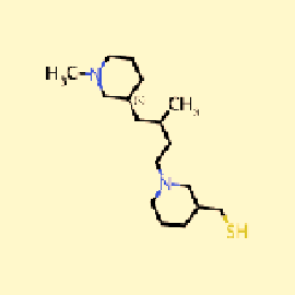 CC(CCN1CCCC(CS)C1)C[C@@H]1CCCN(C)C1